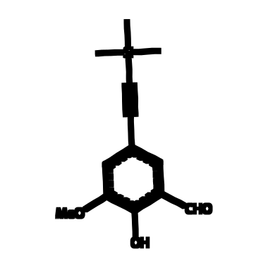 COc1cc(C#C[Si](C)(C)C)cc(C=O)c1O